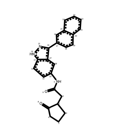 O=C(CC1CCCC1=O)Nc1ccc2[nH]nc(-c3ccc4ccccc4c3)c2c1